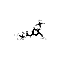 CCc1cc(CC(=O)OC(C)(C)C)ccc1OC(F)(F)F